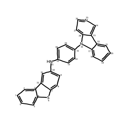 c1ccc2c(c1)sc1ccc(Nc3ccc(-n4c5ccccc5c5cnccc54)cc3)cc12